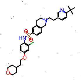 CC(C)(C)c1ccc(CCN2CCc3cc(S(=O)(=O)Nc4ccc(OCCC5CCOCC5)cc4F)ccc3C2)cn1